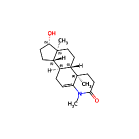 CN1C(=O)CC[C@@]2(C)C1=CC[C@H]1[C@@H]3CC[C@H](O)[C@@]3(C)CC[C@@H]12